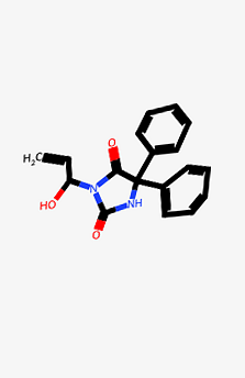 C=CC(O)N1C(=O)NC(c2ccccc2)(c2ccccc2)C1=O